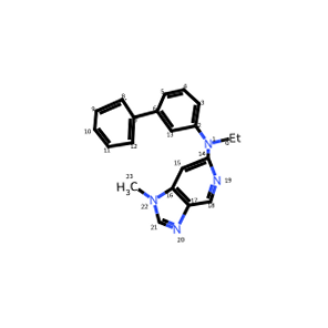 CCN(c1cccc(-c2[c]cccc2)c1)c1cc2c(cn1)ncn2C